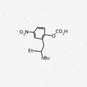 CCCCC(CC)Cc1cc([N+](=O)[O-])ccc1OC(=O)O